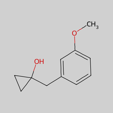 COc1cccc(CC2(O)CC2)c1